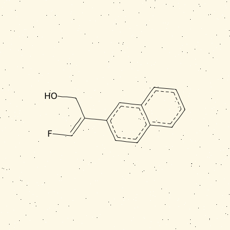 OCC(=CF)c1ccc2ccccc2c1